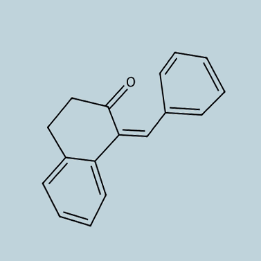 O=C1CCc2ccccc2C1=Cc1ccccc1